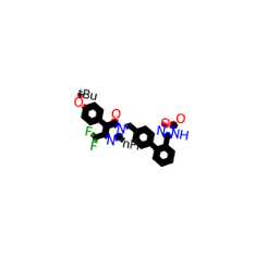 CCCc1nc(C(F)F)c(-c2ccc(OC(C)(C)C)cc2)c(=O)n1Cc1ccc(-c2ccccc2-c2noc(=O)[nH]2)cc1